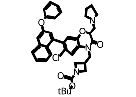 CC(C)(C)OC(=O)N1CC(CN2C(=O)C(CN3CCCC3)Oc3cc(-c4cc(Oc5ccccc5)cc5ccccc45)c(Cl)cc32)C1